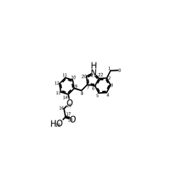 CCc1cccc2c(Cc3ccccc3OCC(=O)O)c[nH]c12